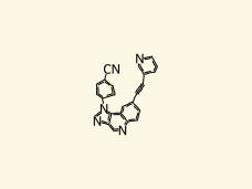 N#Cc1ccc(-n2cnc3cnc4ccc(C#Cc5cccnc5)cc4c32)cc1